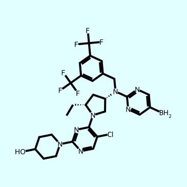 Bc1cnc(N(Cc2cc(C(F)(F)F)cc(C(F)(F)F)c2)[C@H]2C[C@@H](CC)N(c3nc(N4CCC(O)CC4)ncc3Cl)C2)nc1